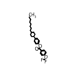 CCCCCCCCC1CCC(c2ccc(OC(=O)c3ccc(OC(F)F)cc3)cc2)CC1